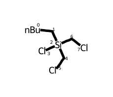 CCCCC[Si](Cl)(CCl)CCl